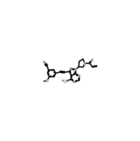 C=CC(=O)N1CCC(n2nc(C#Cc3cc(C#N)cc(OC)c3)c3c(N)ncnc32)C1